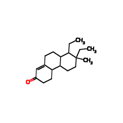 CCC1C2CCC3=CC(=O)CCC3C2CCC1(C)CC